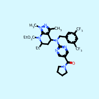 CCOC(=O)N1c2c(c(C)nn2C)C(N(Cc2cc(C(F)(F)F)cc(C(F)(F)F)c2)c2ncc(C(=O)N3CCCC3)cn2)CC1CC